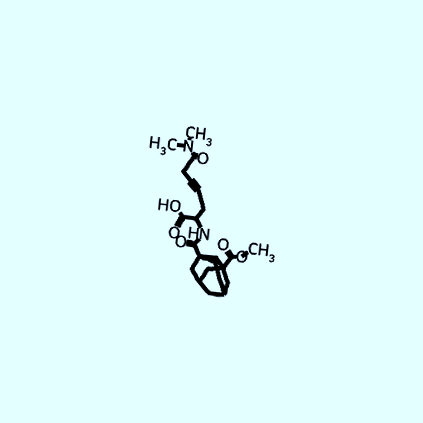 COC(=O)C12CC3CC(CC(C(=O)NC(CC#CCC(=O)N(C)C)C(=O)O)(C3)C1)C2